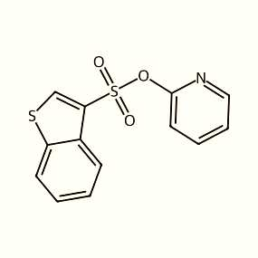 O=S(=O)(Oc1ccccn1)c1csc2ccccc12